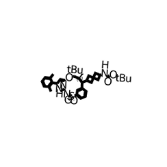 Cc1cccc(C)c1-c1cc2nc(n1)NS(=O)(=O)c1cccc(c1)C(C1CC3(CC(NC(=O)OC(C)(C)C)C3)C1)[C@H](CC(C)(C)C)CO2